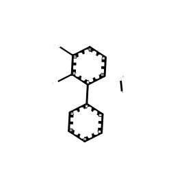 CC(C)(C)c1cccc(-c2ccccc2)c1C(C)(C)C.O=C(O)O